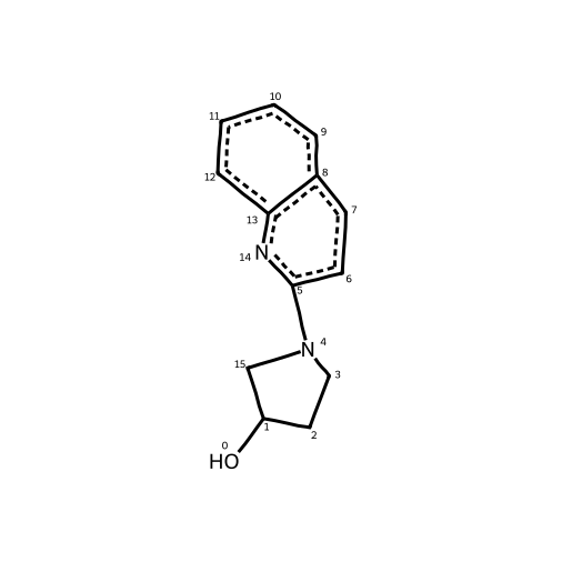 OC1CCN(c2ccc3ccccc3n2)C1